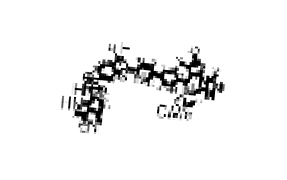 COC(=O)C[C@@H]1N=C(c2ccc(-c3ccc(C(=O)N[C@H](C)c4ccc(S(=O)(=O)Nc5ccc(C)c6c(C#N)c[nH]c56)cc4)nc3)cc2)c2c(sc(C)c2C)-n2c(C)nnc21